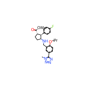 COC(=O)[C@H]1CC[C@H](NCc2cc(-c3nnnn3C)ccc2OC(C)C)[C@@H]1c1ccc(F)cc1